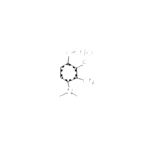 CN(C)c1ccc(OC=O)c(F)c1C#N